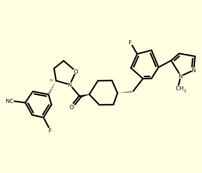 Cn1nccc1-c1cc(F)cc(C[C@H]2CC[C@H](C(=O)N3OCC[C@H]3c3cc(F)cc(C#N)c3)CC2)c1